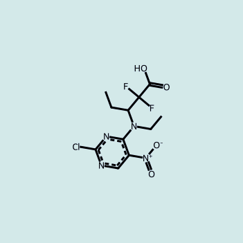 CCC(N(CC)c1nc(Cl)ncc1[N+](=O)[O-])C(F)(F)C(=O)O